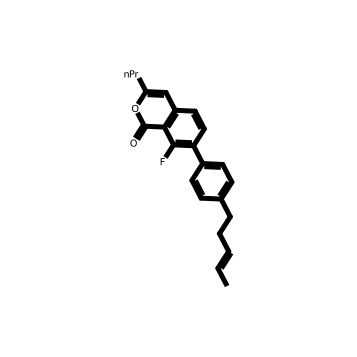 C/C=C/CCc1ccc(-c2ccc3cc(CCC)oc(=O)c3c2F)cc1